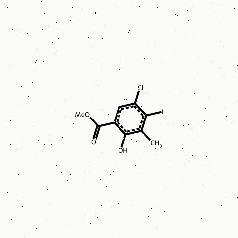 COC(=O)c1cc(Cl)c(I)c(C)c1O